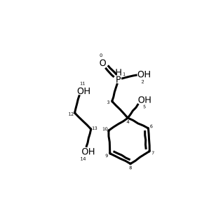 O=[PH](O)CC1(O)C=CC=CC1.OCCO